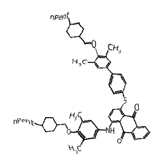 CCCCCC1CCC(COc2c(C)cc(Nc3ccc(Sc4ccc(-c5cc(C)c(OCC6CCC(CCCCC)CC6)c(C)c5)cc4)c4c3C(=O)c3ccccc3C4=O)cc2C)CC1